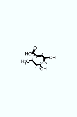 CCCCO.O=C(O)C=CC(=O)O